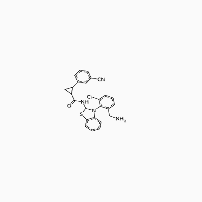 N#Cc1cccc(C2CC2C(=O)NC2Sc3ccccc3N2c2c(Cl)cccc2CN)c1